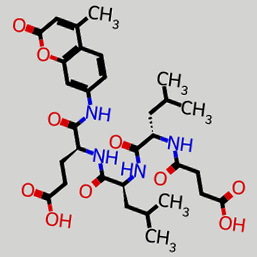 Cc1cc(=O)oc2cc(NC(=O)[C@H](CCC(=O)O)NC(=O)[C@H](CC(C)C)NC(=O)[C@H](CC(C)C)NC(=O)CCC(=O)O)ccc12